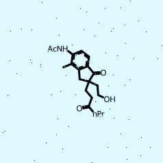 CCCC(=O)CCC1(CCO)Cc2c(ccc(NC(C)=O)c2C)C1=O